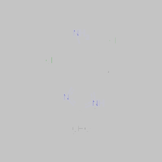 Nc1c(Cl)cc2[nH]c(C=O)nc2c1Cl